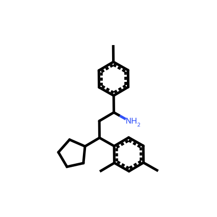 Cc1ccc(C(N)CC(c2ccc(C)cc2C)C2CCCC2)cc1